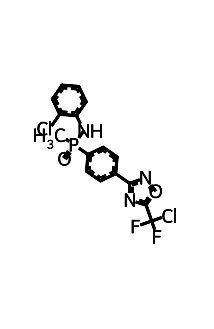 CP(=O)(Nc1ccccc1Cl)c1ccc(-c2noc(C(F)(F)Cl)n2)cc1